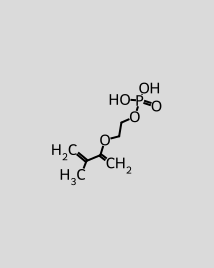 C=C(C)C(=C)OCCOP(=O)(O)O